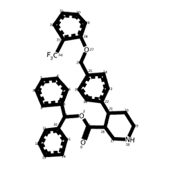 O=C(OC(c1ccccc1)c1ccccc1)C1CNCCC1c1ccc(COc2ccccc2C(F)(F)F)cc1